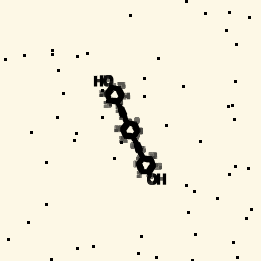 Oc1ccc(C#Cc2ccc(C#Cc3ccc(O)cc3)cc2)cc1